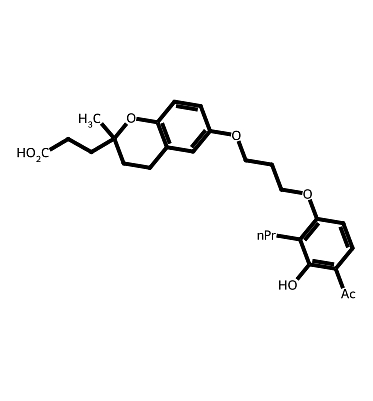 CCCc1c(OCCCOc2ccc3c(c2)CCC(C)(CCC(=O)O)O3)ccc(C(C)=O)c1O